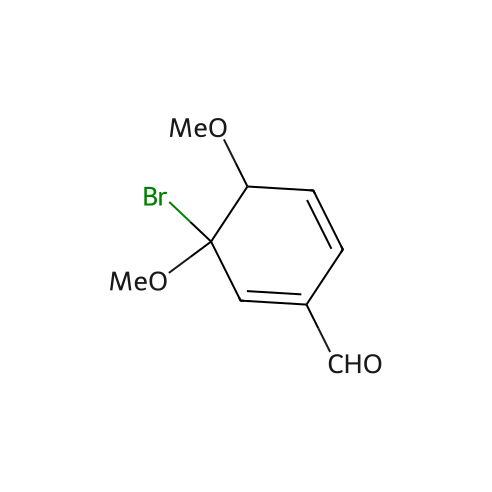 COC1C=CC(C=O)=CC1(Br)OC